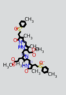 COC(=O)CCC1=C(C)C(/C=C2\NC(=O)C(C)=C2CC[S+]([O-])c2ccc(C)cc2)=NC/1=C\c1[nH]c(/C=C2\NC(=O)C(CC[S+]([O-])c3ccc(C)cc3)=C2C)c(C)c1CC(=O)OC